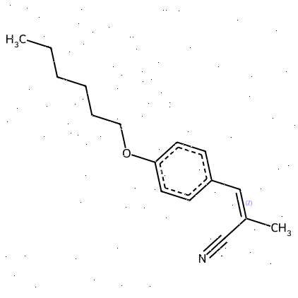 CCCCCCOc1ccc(/C=C(/C)C#N)cc1